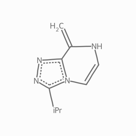 C=C1NC=Cn2c1nnc2C(C)C